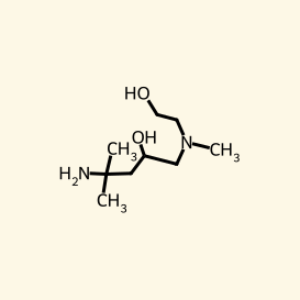 CN(CCO)CC(O)CC(C)(C)N